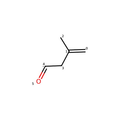 C=C(C)C[C]=O